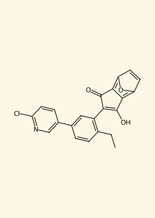 CCc1ccc(-c2ccc(Cl)nc2)cc1C1=C(O)c2c(c3ccc2o3)C1=O